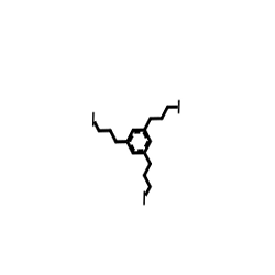 ICCCc1cc(CCCI)cc(CCCI)c1